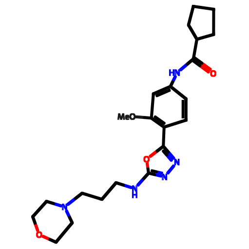 COc1cc(NC(=O)C2CCCC2)ccc1-c1nnc(NCCCN2CCOCC2)o1